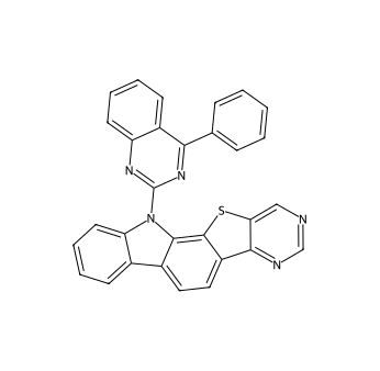 c1ccc(-c2nc(-n3c4ccccc4c4ccc5c6ncncc6sc5c43)nc3ccccc23)cc1